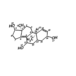 C[C@]12CC[C@@H]3C(=C1CCC2O)C(O)CC1CC(O)C=C[C@@]13C